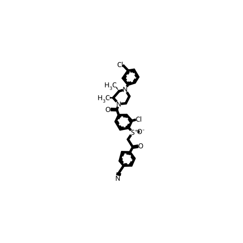 C[C@H]1[C@H](C)N(c2cccc(Cl)c2)CCN1C(=O)c1ccc([S+]([O-])CC(=O)c2ccc(C#N)cc2)c(Cl)c1